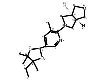 CCC1(C)OB(c2cnc(N3C[C@H]4COC[C@H]4C3)c(C)c2)OC1(C)C